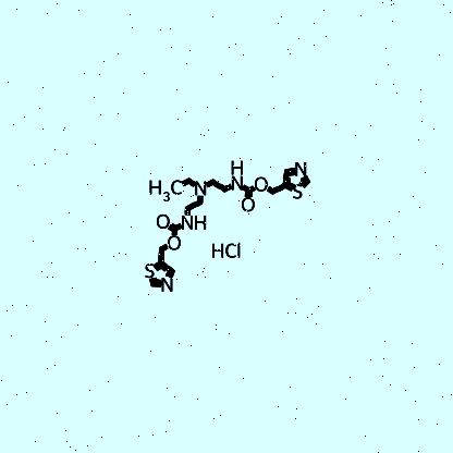 CCN(CCNC(=O)OCc1cncs1)CCNC(=O)OCc1cncs1.Cl